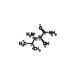 CC(C)[C@H](N)[C@H](O)C(N)=O